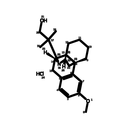 COc1ccc2c(c1)[C@@]13CCCC[C@H]1[C@@H](C2)N(C(C)(C)CO)CC3.Cl